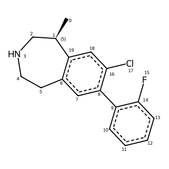 C[C@@H]1CNCCc2cc(-c3ccccc3F)c(Cl)cc21